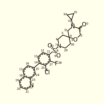 O=C1COC2(CCN(S(=O)(=O)c3ccc(-c4ccc5cccnc5c4)c(Cl)c3F)CC2)CN1C1CC1